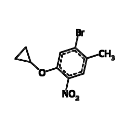 Cc1cc([N+](=O)[O-])c(OC2CC2)cc1Br